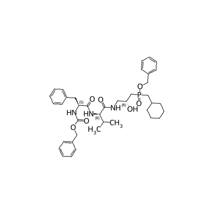 CC(C)[C@@H](NC(=O)[C@H](Cc1ccccc1)NC(=O)OCc1ccccc1)C(=O)NC[C@@H](O)CP(=O)(CC1CCCCC1)OCc1ccccc1